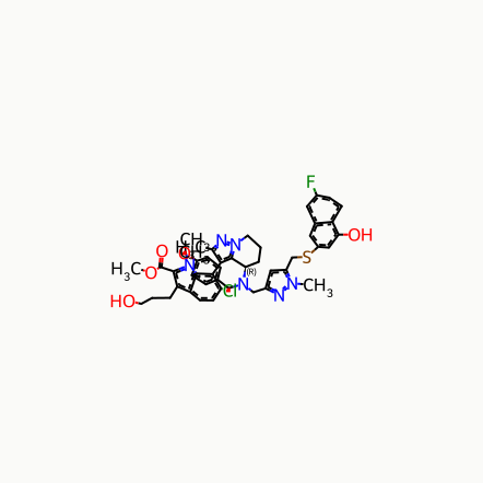 COC(=O)c1c(CCCO)c2ccc(Cl)c(-c3c(C)nn4c3[C@H](N(Cc3ccc(OC)cc3)Cc3cc(CSc5cc(O)c6ccc(F)cc6c5)n(C)n3)CCC4)c2n1C